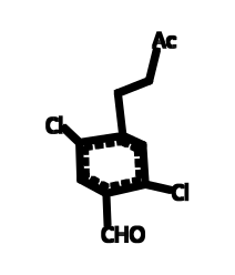 CC(=O)CCc1cc(Cl)c(C=O)cc1Cl